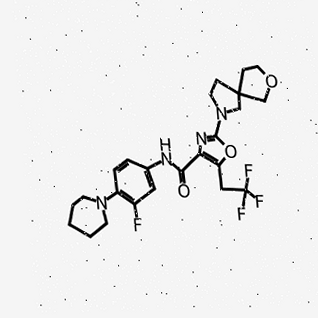 O=C(Nc1ccc(N2CCCCC2)c(F)c1)c1nc(N2CCC3(CCOC3)C2)oc1CC(F)(F)F